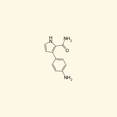 NC(=O)c1[nH]ccc1-c1ccc(N)cc1